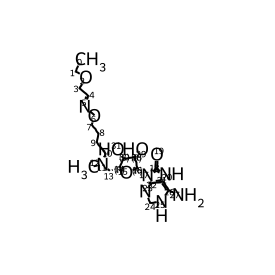 CCOCC=NOCCCCN(C)C[C@H]1O[C@@H](n2c(=O)[nH]c3c2=NCNC=3N)[C@H](O)[C@@H]1O